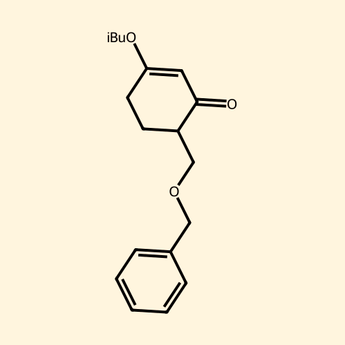 CC(C)COC1=CC(=O)C(COCc2ccccc2)CC1